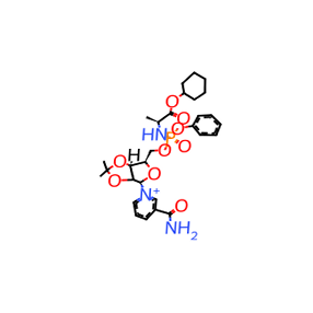 C[C@H](NP(=O)(OC[C@H]1O[C@@H]([n+]2cccc(C(N)=O)c2)C2OC(C)(C)O[C@H]21)Oc1ccccc1)C(=O)OC1CCCCC1